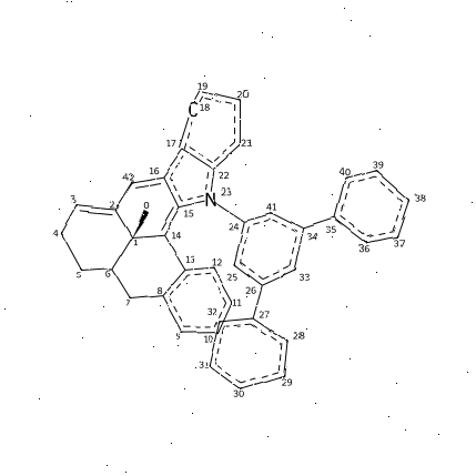 C[C@]12C3=CCCC1Cc1ccccc1C2=c1c(c2ccccc2n1-c1cc(-c2ccccc2)cc(-c2ccccc2)c1)=C3